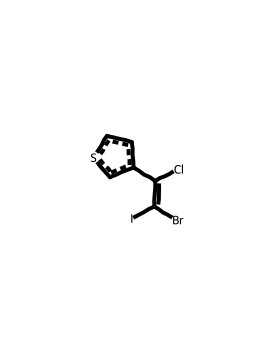 ClC(=C(Br)I)c1ccsc1